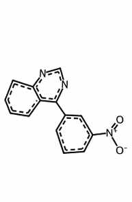 O=[N+]([O-])c1cccc(-c2ncnc3ccccc23)c1